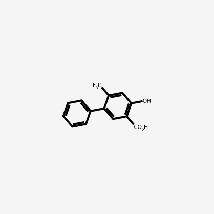 O=C(O)c1cc(-c2ccccc2)c(C(F)(F)F)cc1O